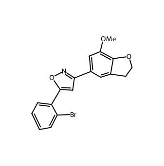 COc1cc(-c2cc(-c3ccccc3Br)on2)cc2c1OCC2